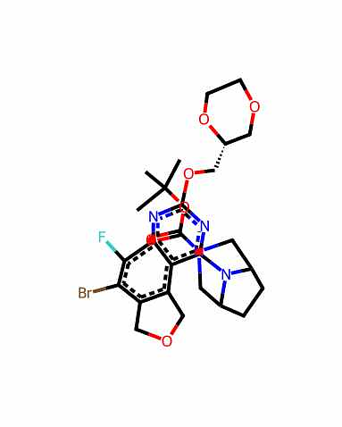 CC(C)(C)OC(=O)N1CC2CCC(C1)N2c1nc(OC[C@H]2COCCO2)nc2c(F)c(Br)c3c(c12)COC3